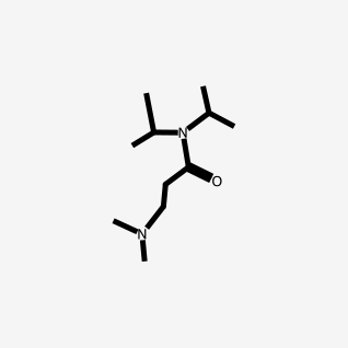 CC(C)N(C(=O)CCN(C)C)C(C)C